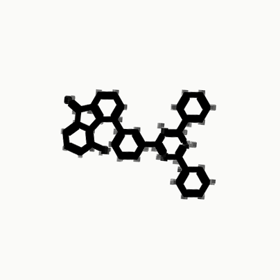 O=C1c2cccc(Br)c2-c2c1cccc2-c1cccc(-c2nc(-c3ccccc3)nc(-c3ccccc3)n2)c1